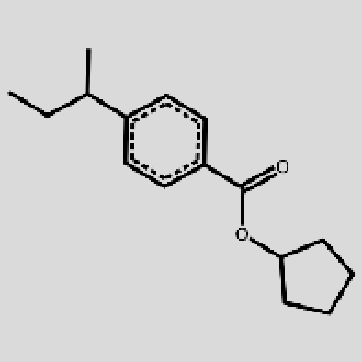 CCC(C)c1ccc(C(=O)OC2CCCC2)cc1